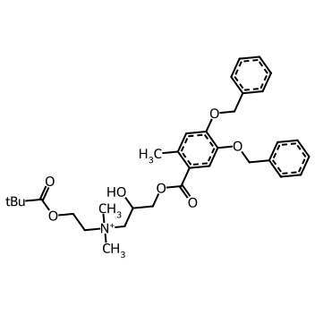 Cc1cc(OCc2ccccc2)c(OCc2ccccc2)cc1C(=O)OCC(O)C[N+](C)(C)CCOC(=O)C(C)(C)C